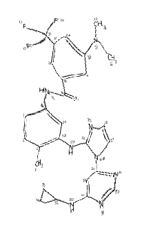 Cc1ccc(NC(=O)c2cc(N(C)C)cc(C(F)(F)F)c2)cc1Nc1nccn1-c1cc(NC2CC2)ncn1